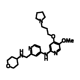 COc1cnc(Nc2ccnc(CNC3CCOCC3)c2)cc1OCCCN1CCCC1